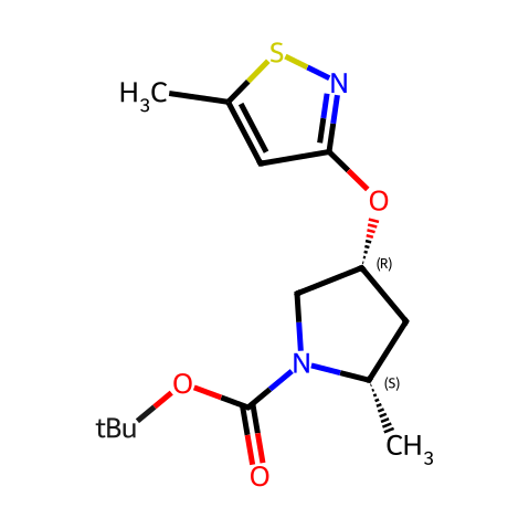 Cc1cc(O[C@@H]2C[C@H](C)N(C(=O)OC(C)(C)C)C2)ns1